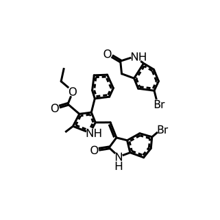 CCOC(=O)c1c(C)[nH]c(/C=C2\C(=O)Nc3ccc(Br)cc32)c1-c1ccccc1.O=C1Cc2cc(Br)ccc2N1